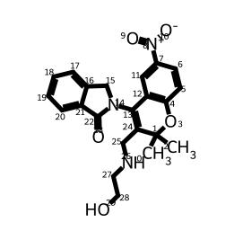 CC1(C)Oc2ccc([N+](=O)[O-])cc2C(N2Cc3ccccc3C2=O)=C1CNCCO